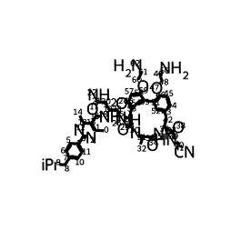 Cc1nc(-c2ccc(CC(C)C)cc2)nc(C)c1C(=O)NC(CCN)C(=O)N(C)C1C(=O)NC(C)C(=O)NC(C(=O)NCC#N)Cc2ccc(OCCN)c(c2)-c2cc1ccc2OCCN